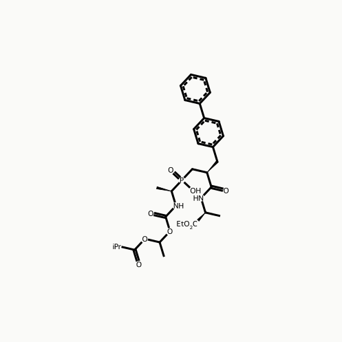 CCOC(=O)[C@H](C)NC(=O)[C@H](Cc1ccc(-c2ccccc2)cc1)CP(=O)(O)[C@H](C)NC(=O)OC(C)OC(=O)C(C)C